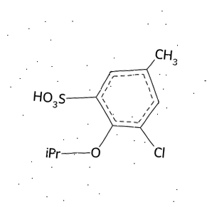 Cc1cc(Cl)c(OC(C)C)c(S(=O)(=O)O)c1